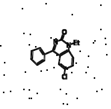 CCn1c(=O)nc(-c2ccccc2)c2cc(Cl)ccc21